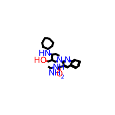 CC(N)NC(=O)c1cc2ccccc2nc1N1CCC(NC2CCCCCC2)C(CO)C1